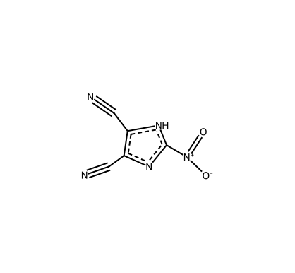 N#Cc1nc([N+](=O)[O-])[nH]c1C#N